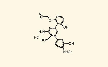 CC(=O)Nc1ccc(-c2cc(-c3c(O)cccc3OCC3CC3)nc(N)c2CO)cc1O.Cl